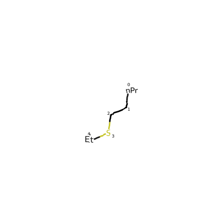 CCCC[CH]SCC